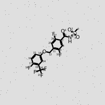 CS(=O)(=O)NC(=O)c1cc(F)c(COc2ccc(F)c(C(F)(F)F)c2)cc1F